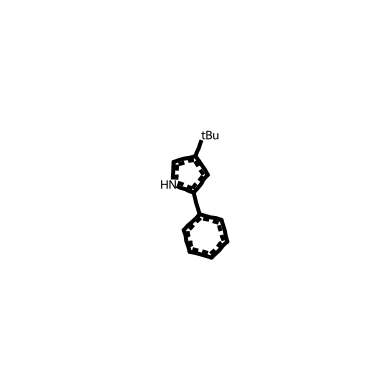 CC(C)(C)c1c[nH]c(-c2ccccc2)c1